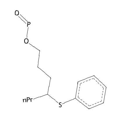 CCCC(CCCOP=O)Sc1ccccc1